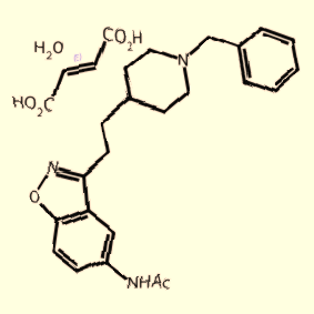 CC(=O)Nc1ccc2onc(CCC3CCN(Cc4ccccc4)CC3)c2c1.O.O=C(O)/C=C/C(=O)O